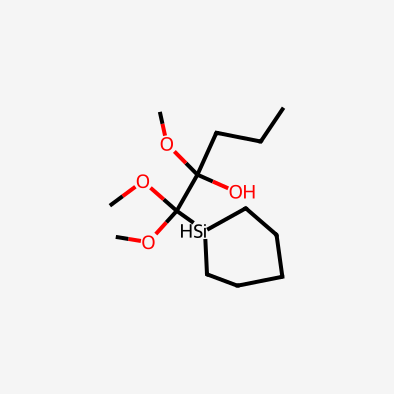 CCCC(O)(OC)C(OC)(OC)[SiH]1CCCCC1